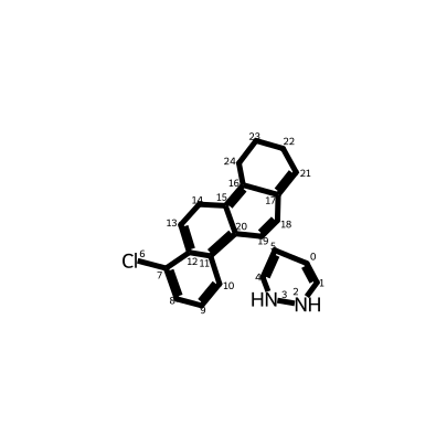 C1=CNNC=C1.Clc1cccc2c1=CCc1c3c(ccc1=2)=CCCC3